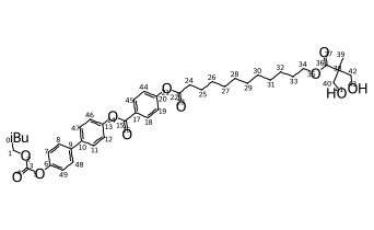 CCC(C)COC(=O)Oc1ccc(-c2ccc(OC(=O)c3ccc(OC(=O)CCCCCCCCCCCOC(=O)C(C)(CO)CO)cc3)cc2)cc1